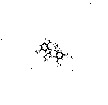 CCn1c(Nc2c(OC)cc(OC)cc2OC)nc2c(C(C)C)ccc(N)c21